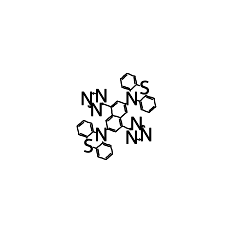 c1ccc2c(c1)Sc1ccccc1N2c1cc(-c2ncncn2)c2cc(N3c4ccccc4Sc4ccccc43)cc(-c3ncncn3)c2c1